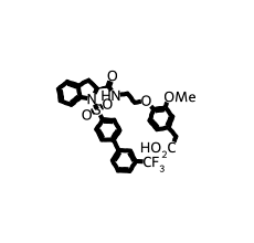 COc1cc(CC(=O)O)ccc1OCCNC(=O)[C@@H]1Cc2ccccc2N1S(=O)(=O)c1ccc(-c2cccc(C(F)(F)F)c2)cc1